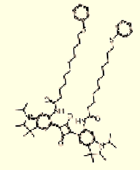 CC(C)N1c2cc(NC(=O)CCCCCCCCCCSc3ccccc3)c(C3=C([O-])/C(=c4/cc5c(cc4NC(=O)CCCCCCCCCCSc4ccccc4)=[N+](C(C)C)C(C)C5(C)C)C3=O)cc2C(C)(C)C1C